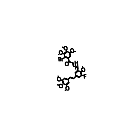 COc1cc(C=Cc2cc(F)c(OC)c(NC=CC(=O)c3cc(OC)c(OC)c(OC)c3Br)c2)cc(OC)c1OC